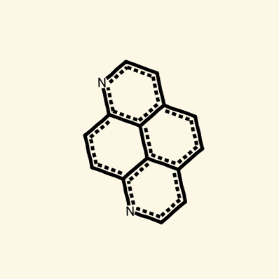 c1cc2ccc3ccnc4ccc(n1)c2c34